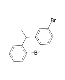 CC(c1cccc(Br)c1)c1ccccc1Br